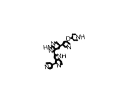 c1cc(-c2nccc3[nH]c(-c4n[nH]c5ncc(-c6cncc(OC7CCNCC7)c6)cc45)cc23)ccn1